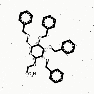 O=C(O)CO[C@H]1O[C@H](COCc2ccccc2)[C@@H](OCc2ccccc2)[C@H](OCc2ccccc2)[C@@H]1OCc1ccccc1